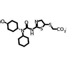 CC(C)CO[C@H]1CC[C@H](N(C(=O)NC2=NCC(SCC(=O)O)S2)C2CCCCC2)CC1